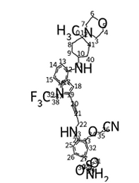 CC1(N2CCOCC2)CCC(Nc2cccc3c2cc(C#CCNc2ccc(S(N)(=O)=O)cc2OCC#N)n3CC(F)(F)F)CC1